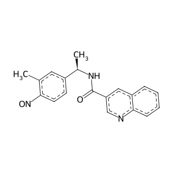 Cc1cc([C@@H](C)NC(=O)c2cnc3ccccc3c2)ccc1N=O